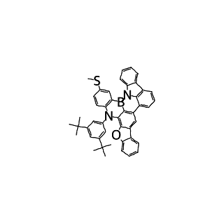 CSc1ccc2c(c1)B1c3c(cc4c(oc5ccccc54)c3N2c2cc(C(C)(C)C)cc(C(C)(C)C)c2)-c2cccc3c4ccccc4n1c23